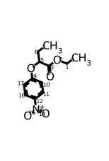 CCOC(=O)C(CC)Oc1ccc([N+](=O)[O-])cc1